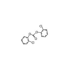 O=C(Oc1ccccc1Cl)Oc1ccccc1Cl